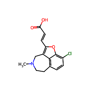 CN1CCc2ccc(Cl)c3oc(C=CC(=O)O)c(c23)C1